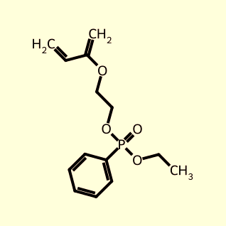 C=CC(=C)OCCOP(=O)(OCC)c1ccccc1